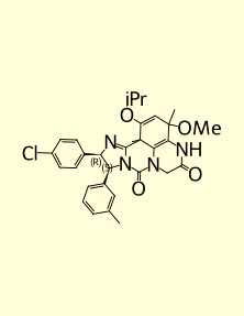 COC1(C)C=C(OC(C)C)C2(C)C3=N[C@H](c4ccc(Cl)cc4)[C@H](c4cccc(C)c4)N3C(=O)N3CC(=O)NC1=C32